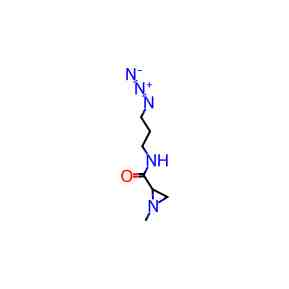 CN1CC1C(=O)NCCCN=[N+]=[N-]